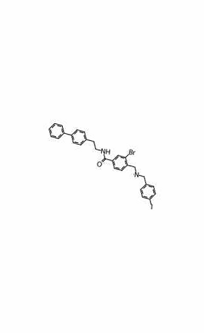 O=C(NCCc1ccc(-c2ccccc2)cc1)c1ccc(C[N]Cc2ccc(I)cc2)c(Br)c1